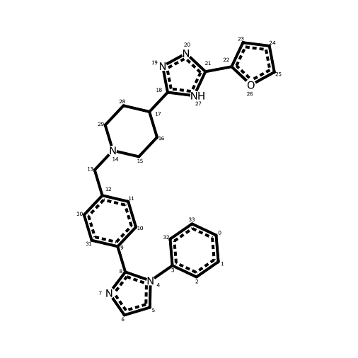 c1ccc(-n2ccnc2-c2ccc(CN3CCC(c4nnc(-c5ccco5)[nH]4)CC3)cc2)cc1